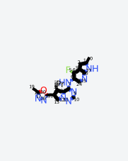 Cc1cc2c(F)c(Nc3ncnn4cc(-c5nnc(C)o5)c(C(C)C)c34)cnc2[nH]1